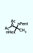 CCCCCCC(C)(CCCCC)N(C(C)=O)C(C)=O